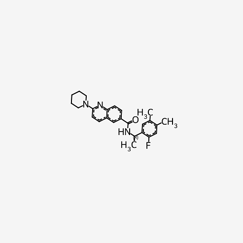 Cc1cc(F)c([C@@H](C)NC(=O)c2ccc3nc(N4CCCCC4)ccc3c2)cc1C